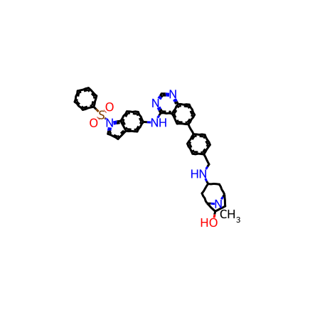 CN1C2CC(NCc3ccc(-c4ccc5ncnc(Nc6ccc7c(ccn7S(=O)(=O)c7ccccc7)c6)c5c4)cc3)CC1C(O)C2